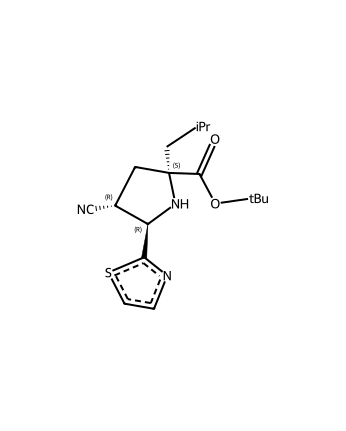 CC(C)C[C@@]1(C(=O)OC(C)(C)C)C[C@@H](C#N)[C@H](c2nccs2)N1